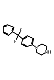 FC(F)(c1ccccc1)c1ccc(N2CCNCC2)cc1